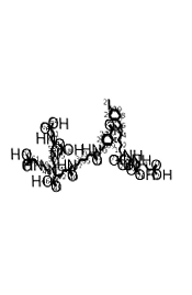 O=C(O)CC[C@@H](NC(=O)N[C@H](CCCCN(Cc1ccc(I)cc1)C(=O)c1ccc(CNC(=O)CCCCNC(=O)CCC(C(=O)O)N(CCNCC(=O)O)CCN(CCNCC(=O)O)CC(=O)O)cc1)C(=O)O)C(=O)O